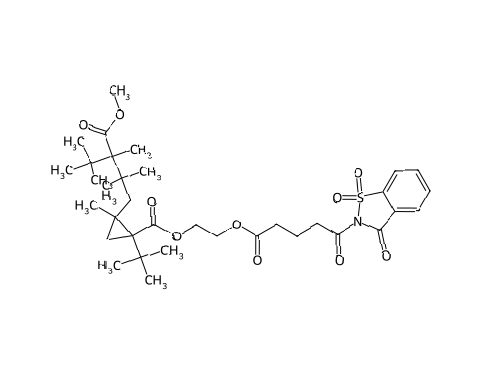 COC(=O)C(C)(C(C)(C)C)C(C)(C)CC1(C)CC1(C(=O)OCCOC(=O)CCCC(=O)N1C(=O)c2ccccc2S1(=O)=O)C(C)(C)C